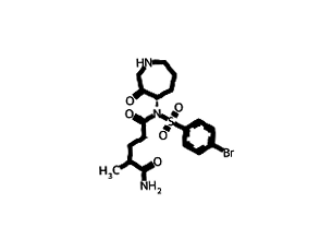 CC(C[CH]C(=O)N([C@H]1CCCNCC1=O)S(=O)(=O)c1ccc(Br)cc1)C(N)=O